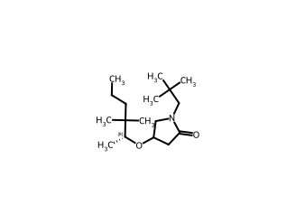 CCCC(C)(C)[C@@H](C)OC1CC(=O)N(CC(C)(C)C)C1